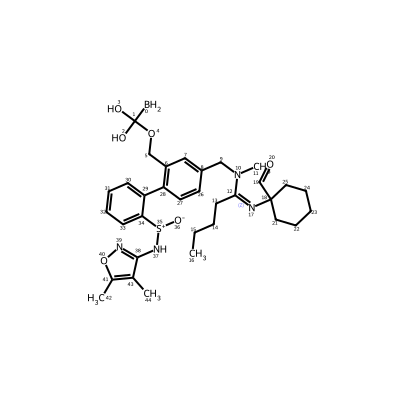 BC(O)(O)OCc1cc(CN(C)/C(CCCC)=N\C2(C=O)CCCCC2)ccc1-c1ccccc1[S+]([O-])Nc1noc(C)c1C